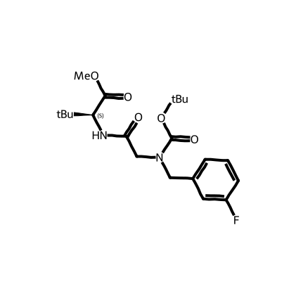 COC(=O)[C@@H](NC(=O)CN(Cc1cccc(F)c1)C(=O)OC(C)(C)C)C(C)(C)C